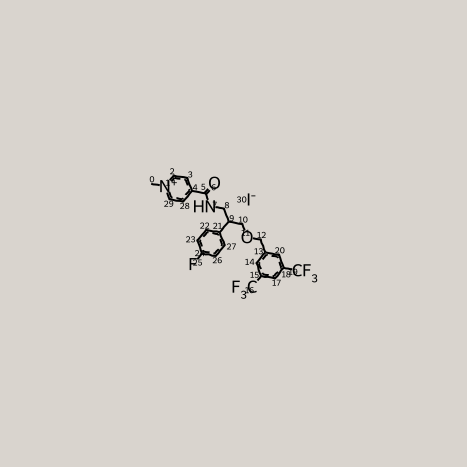 C[n+]1ccc(C(=O)NCC(COCc2cc(C(F)(F)F)cc(C(F)(F)F)c2)c2ccc(F)cc2)cc1.[I-]